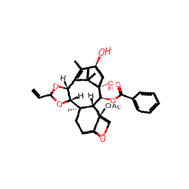 C=CC1O[C@@H]2C3=C(C)[C@@H](O)C[C@@](O)([C@@H](OC(=O)c4ccccc4)[C@H]4[C@@](C)(CCC5OC[C@]54OC(C)=O)[C@@H]2O1)C3(C)C